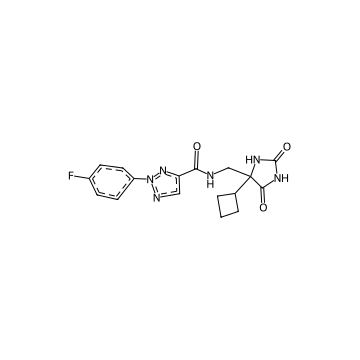 O=C1NC(=O)C(CNC(=O)c2cnn(-c3ccc(F)cc3)n2)(C2CCC2)N1